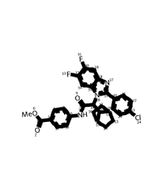 COC(=O)c1ccc(NC(=O)C(C2C3CCC2CC3)n2c(-c3ccc(Cl)cc3)nc3cc(F)c(F)cc32)cc1